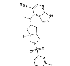 CN(c1c(C#N)cnc2[nH]ccc12)[C@@H]1CC2CN(S(=O)(=O)c3cccc(F)c3)C[C@H]2C1